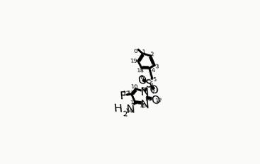 Cc1ccc(CS(=O)(=O)n2cc(F)c(N)nc2=O)cc1